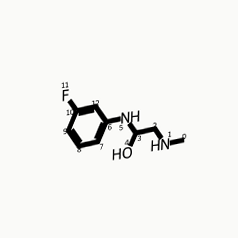 CNCC(O)Nc1cccc(F)c1